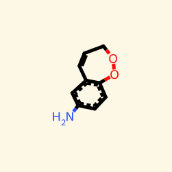 Nc1ccc2c(c1)C=CCOO2